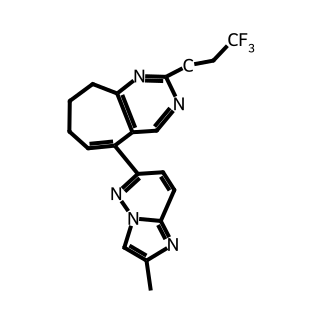 Cc1cn2nc(C3=CCCCc4nc(CCC(F)(F)F)ncc43)ccc2n1